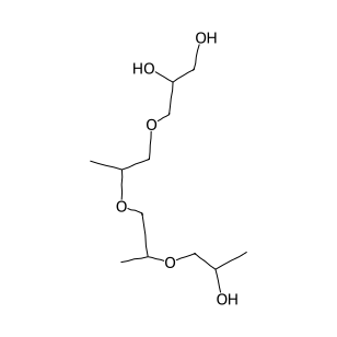 CC(O)COC(C)COC(C)COCC(O)CO